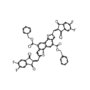 O=C1C(=Cc2cc3c(C(=O)OCc4ccccc4)cc4c(cc(C(=O)OCc5ccccc5)c5cc(C=C6C(=O)c7cc(F)c(F)cc7C6=O)sc54)c3s2)C(=O)c2cc(F)c(F)cc21